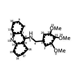 COc1cc(CNc2c3ccccc3nc3ccccc23)cc(OC)c1OC